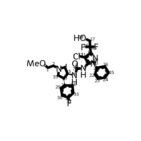 COCCN1C[C@@H](NC(=O)Nc2c(Cl)c(C(F)(F)CO)nn2-c2ccccc2)[C@H](c2ccc(F)cc2)C1